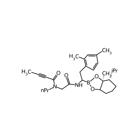 CC#CC(=O)N(CCC)CC(=O)NC(Cc1ccc(C)cc1C)B1OC2CCC[C@@H](C(C)C)[C@]2(C)O1